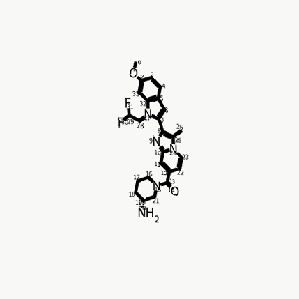 COc1ccc2cc(-c3nc4cc(C(=O)N5CCC[C@@H](N)C5)ccn4c3C)n(CC(F)F)c2c1